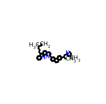 C=C[C@H](C)CCCc1c2ccccc2nc2c1ccc1ccc(-c3ccc4ccc5cc(C(CC)CC6=C[C@H](C)CC=N6)ccc5c4c3)nc12